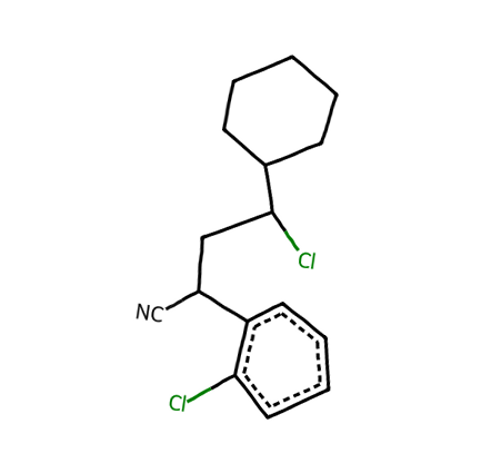 N#CC(CC(Cl)C1CCCCC1)c1ccccc1Cl